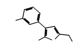 Cc1cccc(-c2cc(CO)sc2C)c1